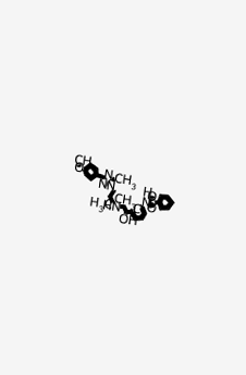 COc1ccc(-c2nc(C)n(CCC(C)(C)NCC(O)c3cccc(NS(=O)(=O)c4ccccc4)c3)n2)cc1